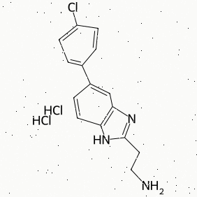 Cl.Cl.NCCc1nc2cc(-c3ccc(Cl)cc3)ccc2[nH]1